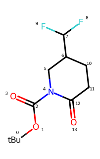 CC(C)(C)OC(=O)N1CC(C(F)F)CCC1=O